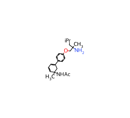 CC(=O)NC1(C)C=CC=C(c2ccc(OCC(C)(N)CC(C)C)cc2)C1